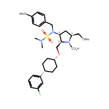 COC[C@@H]1C[C@H](N(Cc2ccc(OC)cc2)S(=O)(=O)N(C)C)[C@H](CO[C@H]2CC[C@@H](c3cccc(F)c3)CC2)N1C(=O)O